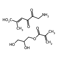 C=C(C)C(=O)OCC(O)CO.CC(=CC(=O)C(=O)CN)C(=O)O